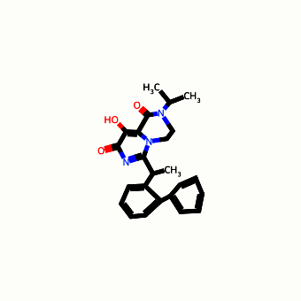 CC(c1ccccc1-c1ccccc1)c1nc(=O)c(O)c2n1CCN(C(C)C)C2=O